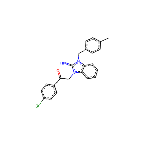 Cc1ccc(Cn2c(=N)n(CC(=O)c3ccc(Br)cc3)c3ccccc32)cc1